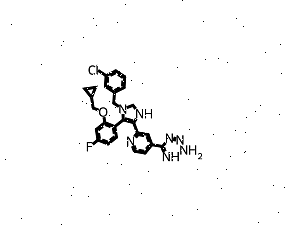 N=C(/N=N\N)c1ccnc(C2=C(c3ccc(F)cc3OCC3CC3)N(Cc3cccc(Cl)c3)CN2)c1